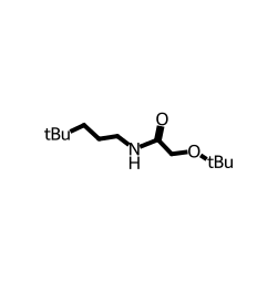 CC(C)(C)CCCNC(=O)COC(C)(C)C